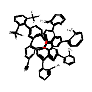 Cc1ccccc1-c1ccc2c(c1)c1cc(-c3ccccc3C)ccc1n2-c1ccc(-c2c(C(F)(F)F)cccc2C(F)(F)F)cc1-c1ccc(C#N)cc1-n1c2ccc(-c3ccccc3C)cc2c2cc(-c3ccccc3C)ccc21